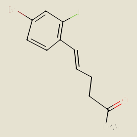 COC(=O)CC/C=C/c1ccc(Br)cc1F